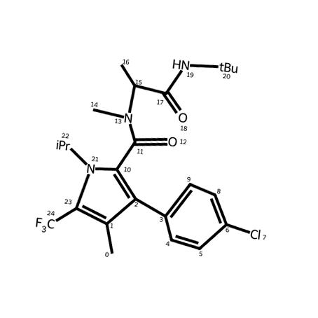 Cc1c(-c2ccc(Cl)cc2)c(C(=O)N(C)C(C)C(=O)NC(C)(C)C)n(C(C)C)c1C(F)(F)F